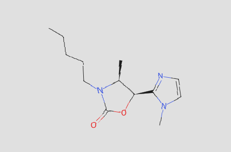 CCCCCN1C(=O)O[C@H](c2nccn2C)[C@@H]1C